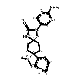 CC(=O)Nc1ncc(N2C[C@]3(CC[C@@](c4ccccc4)(N(C)C)CC3)NC2=O)cn1